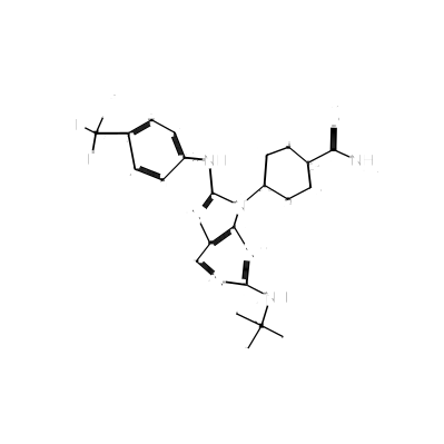 CC(C)(C)Nc1ncc2nc(Nc3ccc(C(F)(F)F)cc3)n(C3CCC(C(N)=O)CC3)c2n1